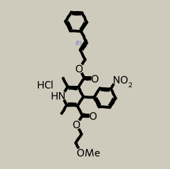 COCCOC(=O)C1=C(C)NC(C)=C(C(=O)OC/C=C/c2ccccc2)C1c1cccc([N+](=O)[O-])c1.Cl